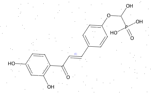 O=C(/C=C/c1ccc(OC(O)P(=O)(O)O)cc1)c1ccc(O)cc1O